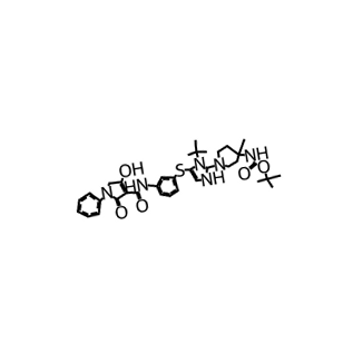 CC1(NC(=O)OC(C)(C)C)CCN(C2NC=C(Sc3cccc(NC(=O)C4=C(O)CN(c5ccccc5)C4=O)c3)N2C(C)(C)C)CC1